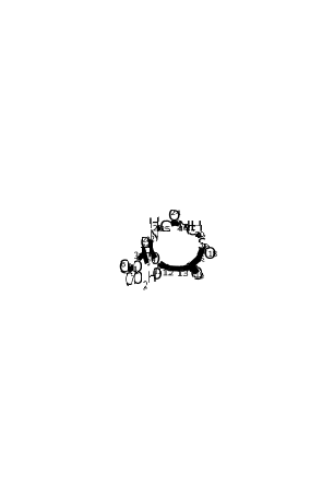 CC(C)(COC(=O)C(=O)O)[C@H]1OC(=O)CCC(=O)CC(=O)SCCNC(=O)CCNC1=O